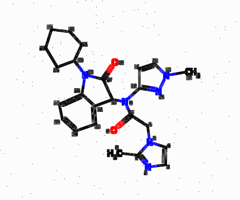 Cc1nccn1CC(=O)N(c1ccn(C)n1)C1C(=O)N(C2CCCCC2)c2ccccc21